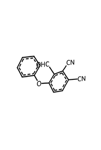 N#Cc1ccc(Oc2ccccc2)c(C=O)c1C#N